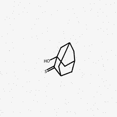 OC12CC3CC(CC(C3)C1=S)C2